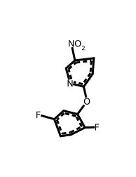 O=[N+]([O-])c1ccc(Oc2cc(F)ccc2F)nc1